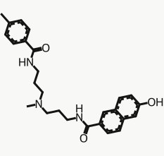 Cc1ccc(C(=O)NCCCN(C)CCCNC(=O)c2ccc3cc(O)ccc3c2)cc1